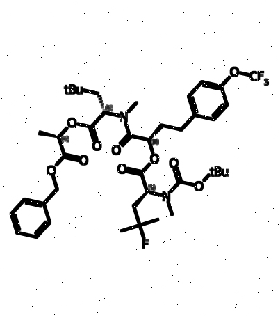 C[C@@H](OC(=O)[C@H](CC(C)(C)C)N(C)C(=O)[C@@H](CCc1ccc(OC(F)(F)F)cc1)OC(=O)[C@H](CC(C)(C)F)N(C)C(=O)OC(C)(C)C)C(=O)OCc1ccccc1